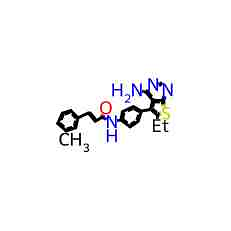 CCc1sc2ncnc(N)c2c1-c1ccc(NC(=O)/C=C/c2cccc(C)c2)cc1